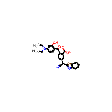 CCN(CC)c1ccc(C(=O)c2ccc(C(C#N)c3nc4ccccc4s3)cc2C(=O)O)c(O)c1